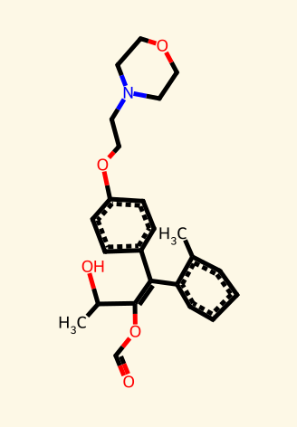 Cc1ccccc1/C(=C(\OC=O)C(C)O)c1ccc(OCCN2CCOCC2)cc1